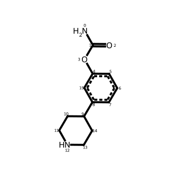 NC(=O)Oc1cccc(C2CCNCC2)c1